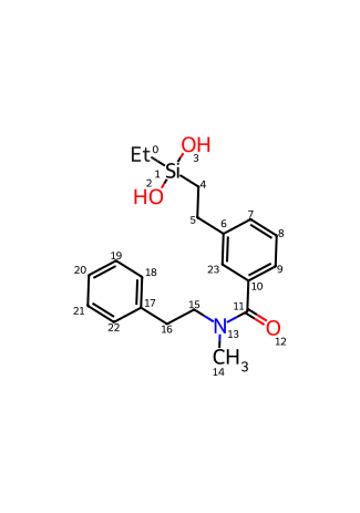 CC[Si](O)(O)CCc1cccc(C(=O)N(C)CCc2ccccc2)c1